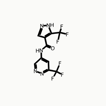 O=C(Nc1cnnc(C(F)(F)F)c1)c1cn[nH]c1C(F)(F)F